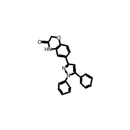 O=C1COc2ccc(-c3cc(-c4ccccc4)n(-c4ccccc4)n3)cc2N1